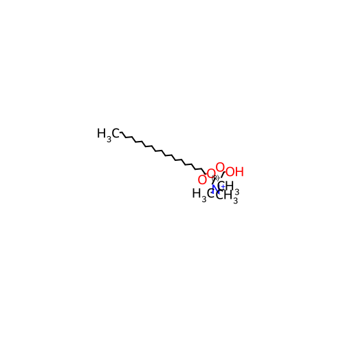 CCCCCCCCCCCCCCCCCCC(=O)O[C@H](CC(=O)O)C[N+](C)(C)C